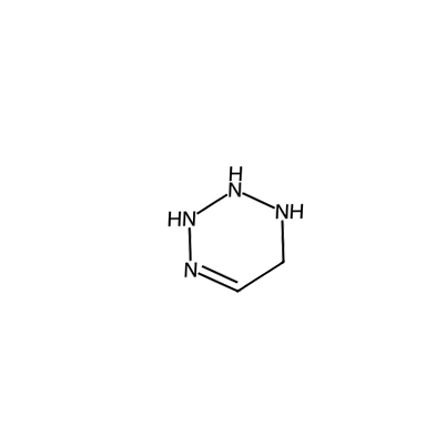 C1=NNNNC1